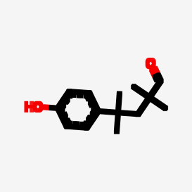 CC(C)(C=O)CC(C)(C)c1ccc(O)cc1